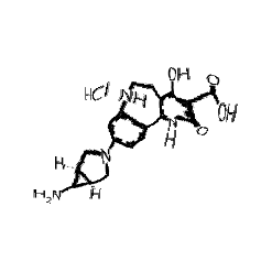 Cl.NC1[C@H]2CN(c3ccc4c(c3)NCCc3c-4[nH]c(=O)c(C(=O)O)c3O)C[C@@H]12